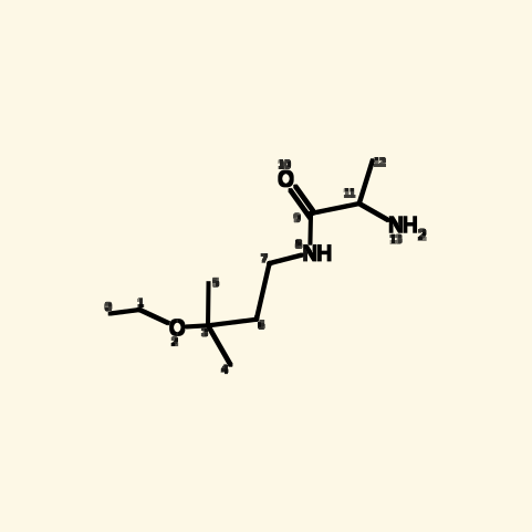 CCOC(C)(C)CCNC(=O)C(C)N